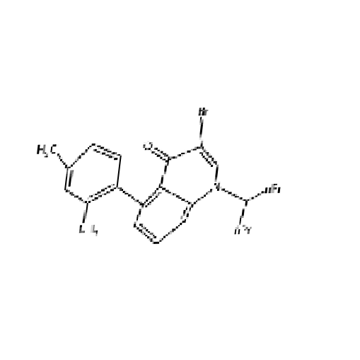 CCCC(CCC)n1cc(Br)c(=O)c2c(-c3ccc(C)cc3C)cccc21